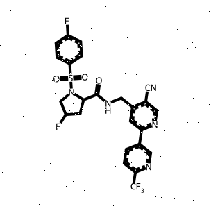 N#Cc1cnc(-c2ccc(C(F)(F)F)nc2)cc1CNC(=O)C1CC(F)CN1S(=O)(=O)c1ccc(F)cc1